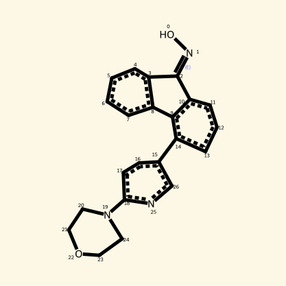 O/N=C1\c2ccccc2-c2c1cccc2-c1ccc(N2CCOCC2)nc1